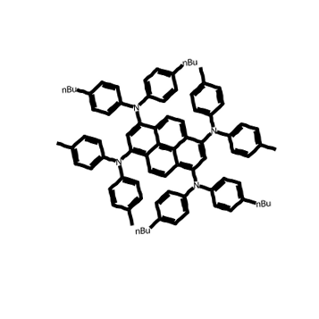 CCCCc1ccc(N(c2ccc(CCCC)cc2)c2cc(N(c3ccc(C)cc3)c3ccc(C)cc3)c3ccc4c(N(c5ccc(CCCC)cc5)c5ccc(CCCC)cc5)cc(N(c5ccc(C)cc5)c5ccc(C)cc5)c5ccc2c3c54)cc1